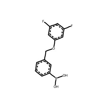 OB(O)c1cccc(COc2cc(F)cc(F)c2)c1